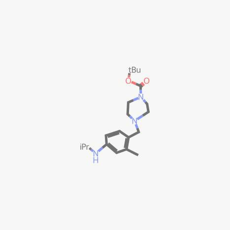 Cc1cc(NC(C)C)ccc1CN1CCN(C(=O)OC(C)(C)C)CC1